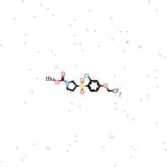 CC(C)(C)OC(=O)N1CCC(S(=O)(=O)c2ccc(OCC(F)(F)F)cc2Cl)C1